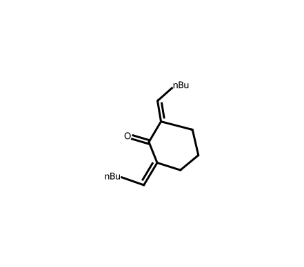 CCCCC=C1CCCC(=CCCCC)C1=O